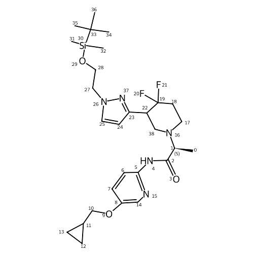 C[C@@H](C(=O)Nc1ccc(OCC2CC2)cn1)N1CCC(F)(F)C(c2ccn(CCO[Si](C)(C)C(C)(C)C)n2)C1